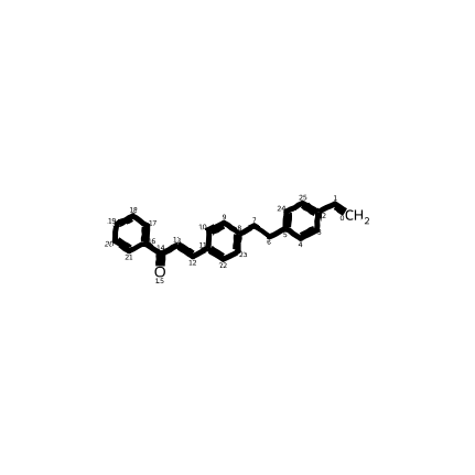 C=Cc1ccc(CCc2ccc(/C=C/C(=O)c3ccccc3)cc2)cc1